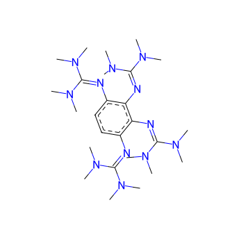 CN(C)C(=Nc1ccc(N=C(N(C)C)N(C)C)c(N=C(N(C)C)N(C)C)c1N=C(N(C)C)N(C)C)N(C)C